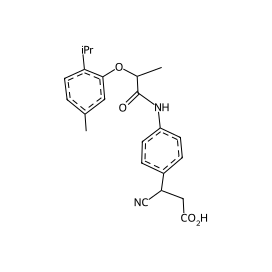 Cc1ccc(C(C)C)c(OC(C)C(=O)Nc2ccc(C(C#N)CC(=O)O)cc2)c1